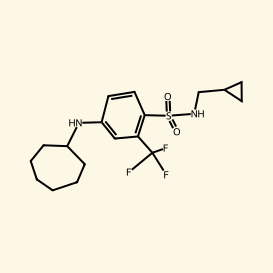 O=S(=O)(NCC1CC1)c1ccc(NC2CCCCCC2)cc1C(F)(F)F